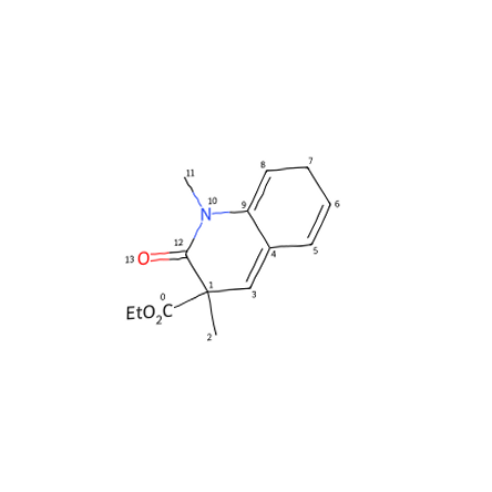 CCOC(=O)C1(C)C=C2C=CCC=C2N(C)C1=O